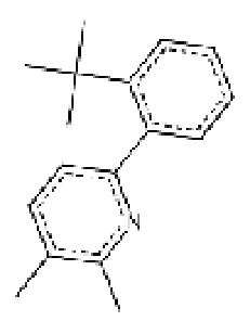 Cc1ccc(-c2ccccc2C(C)(C)C)nc1C